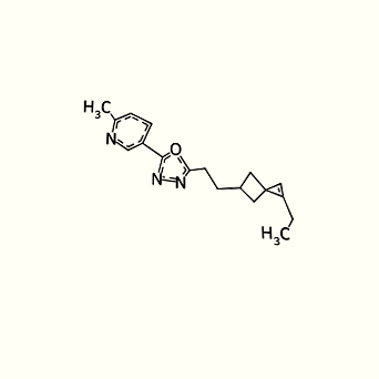 CCC1=CC12CC(CCc1nnc(-c3ccc(C)nc3)o1)C2